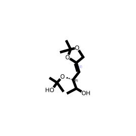 CC(O)[C@@H](/C=C1/COC(C)(C)O1)OC(C)(C)O